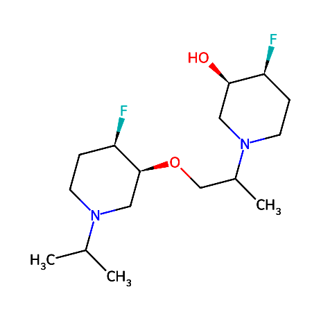 CC(C)N1CC[C@@H](F)[C@@H](OCC(C)N2CC[C@H](F)[C@H](O)C2)C1